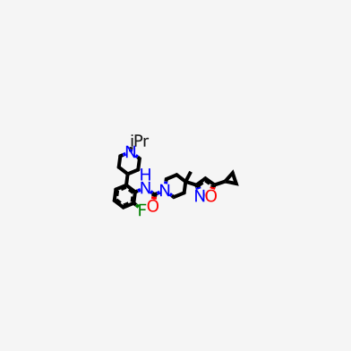 CC(C)N1CCC(c2cccc(F)c2NC(=O)N2CCC(C)(c3cc(C4CC4)on3)CC2)CC1